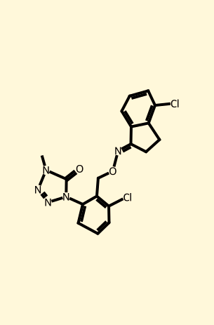 Cn1nnn(-c2cccc(Cl)c2CON=C2CCc3c(Cl)cccc32)c1=O